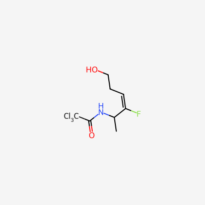 CC(NC(=O)C(Cl)(Cl)Cl)/C(F)=C\CCO